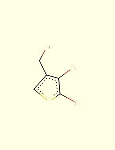 BrCc1csc(Br)c1Br